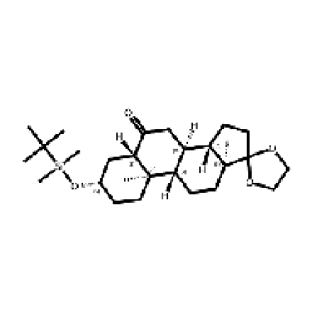 CC(C)(C)[Si](C)(C)O[C@H]1CC[C@@]2(C)[C@H](C1)C(=O)C[C@@H]1[C@@H]2CC[C@@]2(C)[C@H]1CCC21OCCO1